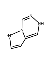 C1=CC2=CNN=CN2[N]1